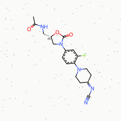 CC(=O)NC[C@H]1CN(c2ccc(N3CCC(=NC#N)CC3)c(F)c2)C(=O)O1